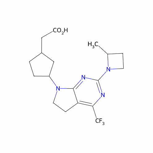 CC1CCN1c1nc2c(c(C(F)(F)F)n1)CCN2C1CCC(CC(=O)O)C1